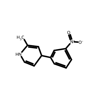 CC1=CC(c2cccc([N+](=O)[O-])c2)C=CN1